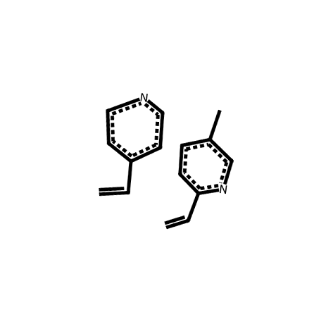 C=Cc1ccc(C)cn1.C=Cc1ccncc1